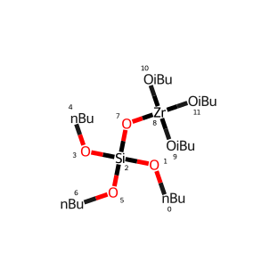 CCCCO[Si](OCCCC)(OCCCC)[O][Zr]([O]CC(C)C)([O]CC(C)C)[O]CC(C)C